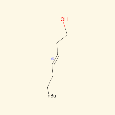 CCCCCC/C=C/CCO